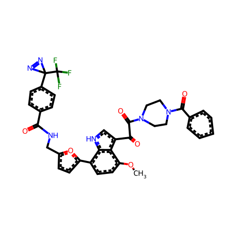 COc1ccc(-c2ccc(CNC(=O)c3ccc(C4(C(F)(F)F)N=N4)cc3)o2)c2[nH]cc(C(=O)C(=O)N3CCN(C(=O)c4ccccc4)CC3)c12